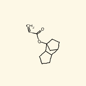 C=CC(=O)OC12CCC(C1)C1CCCC12